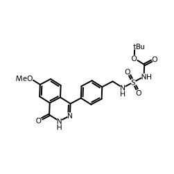 COc1ccc2c(-c3ccc(CNS(=O)(=O)NC(=O)OC(C)(C)C)cc3)n[nH]c(=O)c2c1